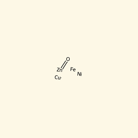 [Cu].[Fe].[Ni].[O]=[Zn]